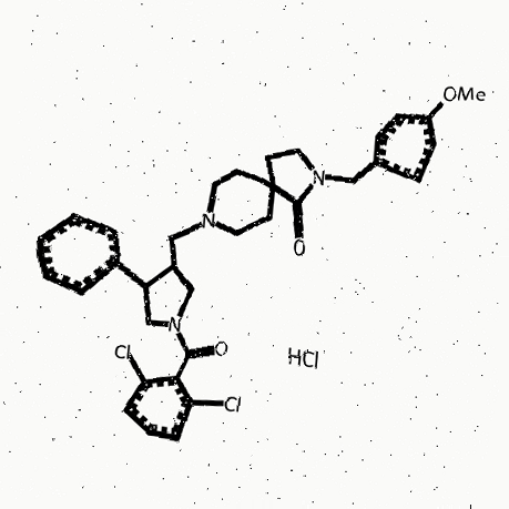 COc1ccc(CN2CCC3(CCN(CC4CN(C(=O)c5c(Cl)cccc5Cl)CC4c4ccccc4)CC3)C2=O)cc1.Cl